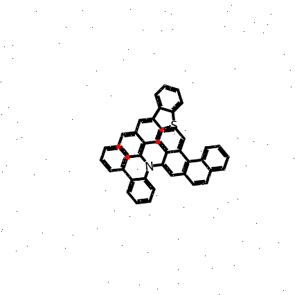 c1ccc(-c2ccccc2N(c2cccc3cc4c(cc23)sc2ccccc24)c2cc3ccc4ccccc4c3c3ccccc23)cc1